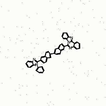 c1ccc(-n2c(-c3ccc4cc(-c5ccc6cc(-c7nc8ccccc8c8nc9ccccc9n78)ccc6c5)ccc4c3)nc3ccccc32)cc1